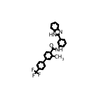 Cc1cc(-c2ccc(C(F)(F)F)cc2)ccc1C(=O)Nc1cccc(-c2nc3ccccc3[nH]2)c1